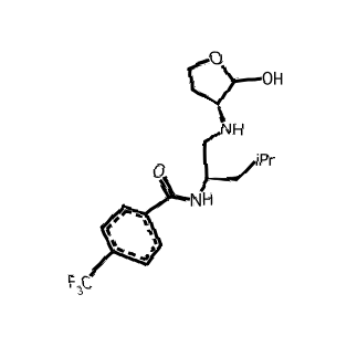 CC(C)C[C@H](CN[C@H]1CCOC1O)NC(=O)c1ccc(C(F)(F)F)cc1